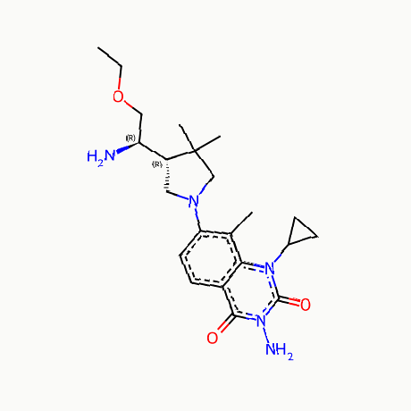 CCOC[C@H](N)[C@H]1CN(c2ccc3c(=O)n(N)c(=O)n(C4CC4)c3c2C)CC1(C)C